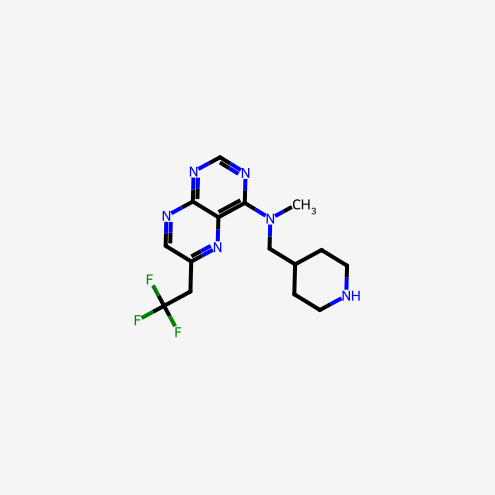 CN(CC1CCNCC1)c1ncnc2ncc(CC(F)(F)F)nc12